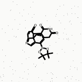 CC1(C)OB(C2=CC=CC34C2=CN=C3C=CC(=O)C4C2CCC(=O)NC2=O)OC1(C)C